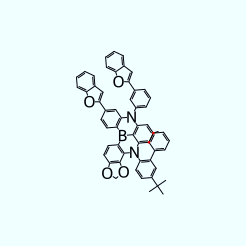 Cc1cc2c3c(c1)N(c1ccc(C(C)(C)C)cc1-c1ccccc1)c1c(ccc4c1OCO4)B3c1ccc(-c3cc4ccccc4o3)cc1N2c1cccc(-c2cc3ccccc3o2)c1